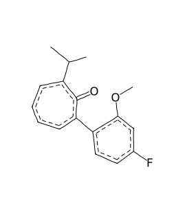 COc1cc(F)ccc1-c1ccccc(C(C)C)c1=O